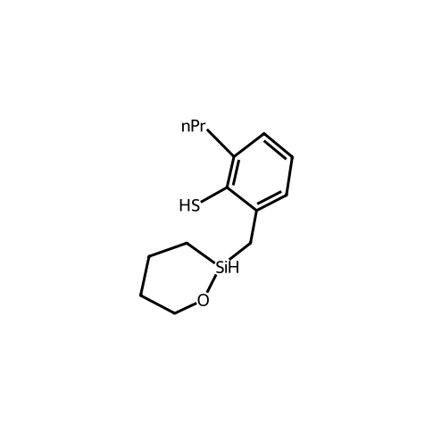 CCCc1cccc(C[SiH]2CCCCO2)c1S